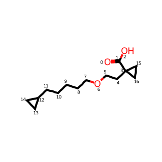 O=C(O)C1(CCOCCCCCC2CC2)CC1